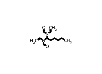 C=CN(C=O)C(CCCCC)N(C=C)C=O